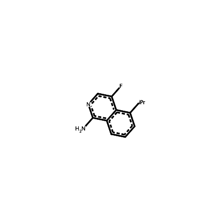 CC(C)c1cccc2c(N)ncc(F)c12